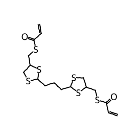 C=CC(=O)SCC1CSC(CCCC2SCC(CSC(=O)C=C)S2)S1